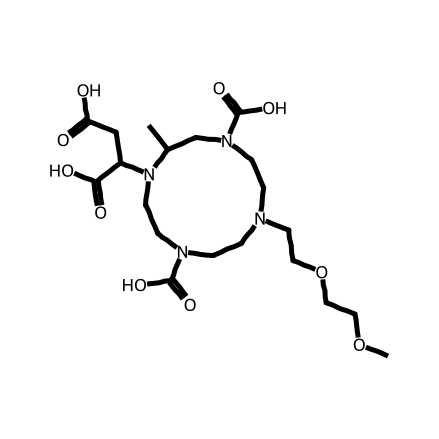 COCCOCCN1CCN(C(=O)O)CCN(C(CC(=O)O)C(=O)O)C(C)CN(C(=O)O)CC1